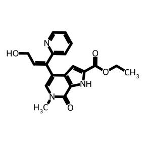 CCOC(=O)c1cc2c(C(=CCO)c3ccccn3)cn(C)c(=O)c2[nH]1